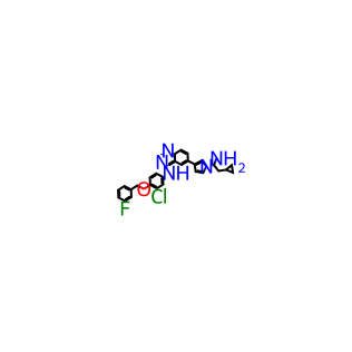 NC(CC1CC1)n1ccc(-c2ccc3ncnc(Nc4ccc(OCc5cccc(F)c5)c(Cl)c4)c3c2)c1